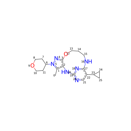 Cc1c2c(nn1C1CCOCC1)OCCCNc1nc(ncc1C1CC1)N2